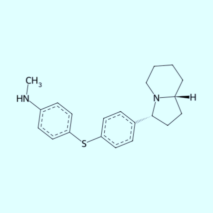 CNc1ccc(Sc2ccc([C@H]3CC[C@H]4CCCCN43)cc2)cc1